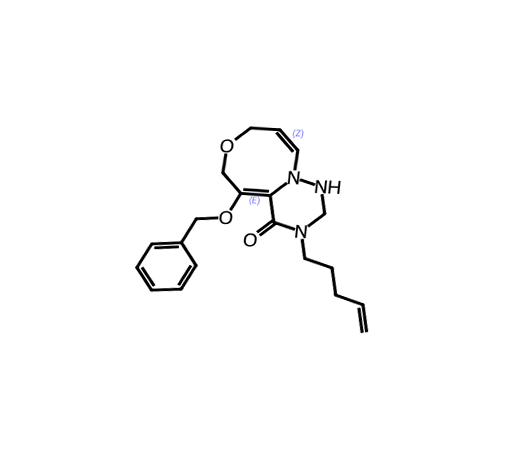 C=CCCCN1CNN2/C=C\COC/C(OCc3ccccc3)=C\2C1=O